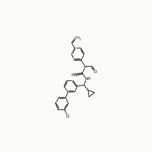 C=Cc1ccc(N(C=O)C(=N)NC(c2cccc(-c3cccc(Cl)c3)c2)C2CC2)cc1